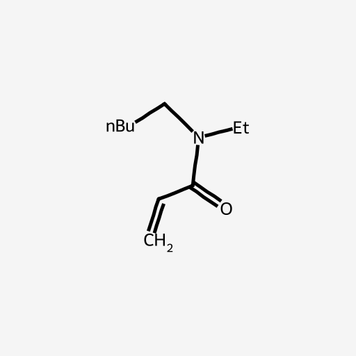 C=CC(=O)N(CC)CCCCC